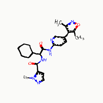 CCn1nccc1C(=O)NC(C(=O)Nc1ccc(-c2c(C)noc2C)cn1)C1CCCCC1